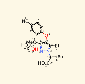 CCc1c(Oc2ccc(C#N)cc2)c(OC)nn1C(C(=O)O)C(C)(C)C.O=C(O)O.[KH]